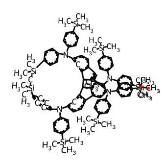 CC12c3cc(N(c4ccc([Si](C)(C)C)cc4)c4ccc([Si](C)(C)C)cc4)ccc3-c3ccc(cc31)N(c1ccc([Si](C)(C)C)cc1)c1ccc(cc1)[Si](C)(C)C[Si](C)(C)c1ccc(cc1)N(c1ccc([Si](C)(C)C)cc1)c1ccc3c(c1)C2(C)c1cc(N(c2ccc([Si](C)(C)C)cc2)c2ccc([Si](C)(C)C)cc2)ccc1-3